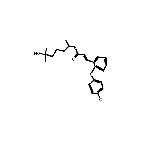 CC(CCCC(C)(C)O)NC(=O)C=Cc1ccccc1Sc1ccc(Cl)cc1